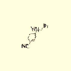 CC(C)CNC1CC=C(C#N)CC1